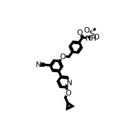 CS(=O)(=O)NC(=O)c1ccc(COc2cc(C#N)cc(-c3ccc(OCC4CC4)nc3)c2)cc1